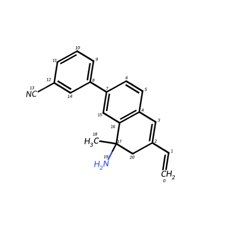 C=CC1=Cc2ccc(-c3cccc(C#N)c3)cc2C(C)(N)C1